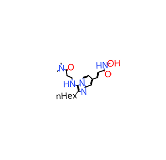 CCCCCCc1nc2cc(/C=C/C(=O)NO)ccn2c1NCCC(=O)N(C)C